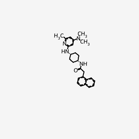 Cc1cc(N(C)C)cc(N[C@H]2CC[C@@H](NC(=O)Cc3cccc4ccccc34)CC2)n1